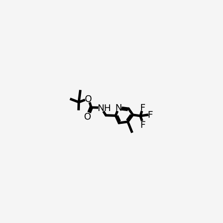 Cc1cc(CNC(=O)OC(C)(C)C)ncc1C(F)(F)F